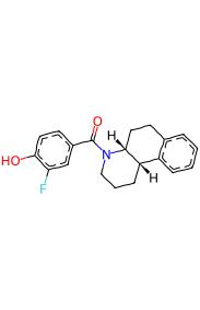 O=C(c1ccc(O)c(F)c1)N1CCC[C@H]2c3ccccc3CC[C@H]21